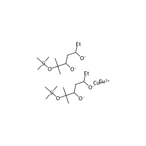 CCC([O-])CC([O-])C(C)(C)O[Si](C)(C)C.CCC([O-])CC([O-])C(C)(C)O[Si](C)(C)C.[Cu+2].[Cu+2]